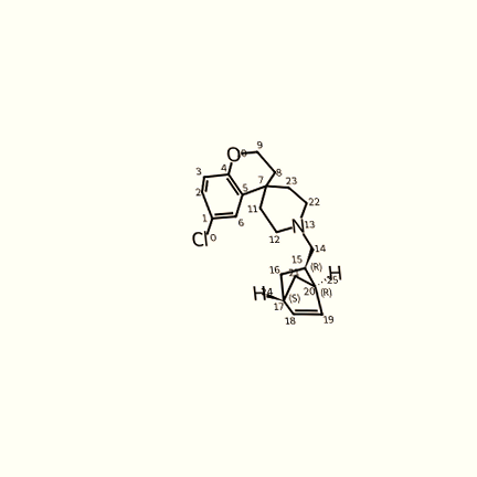 Clc1ccc2c(c1)C1(CCO2)CCN(C[C@@H]2C[C@H]3C=C[C@H]2C3)CC1